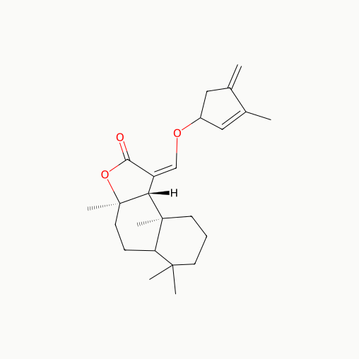 C=C1CC(O/C=C2\C(=O)O[C@]3(C)CCC4C(C)(C)CCC[C@]4(C)[C@@H]23)C=C1C